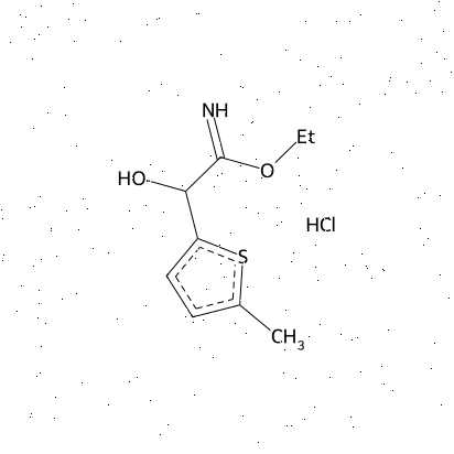 CCOC(=N)C(O)c1ccc(C)s1.Cl